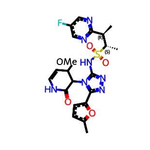 COC1C=CNC(=O)C1n1c(NS(=O)(=O)[C@@H](C)[C@H](C)c2ncc(F)cn2)nnc1-c1ccc(C)o1